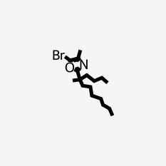 CCCCCCCC(C)(CCCC)c1nc(C)c(Br)o1